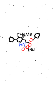 CNc1c(CC(NC(=O)OC(C)(C)C)C(=O)OCc2ccccc2)ccc(-c2ccccc2)c1C